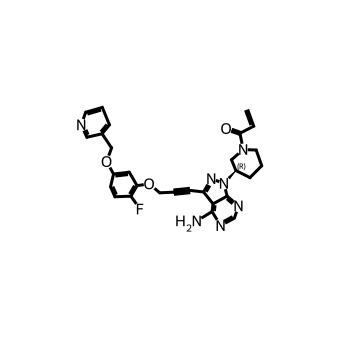 C=CC(=O)N1CCC[C@@H](n2nc(C#CCOc3cc(OCc4cccnc4)ccc3F)c3c(N)ncnc32)C1